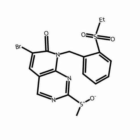 CCS(=O)(=O)c1ccccc1Cn1c(=O)c(Br)cc2cnc([S+](C)[O-])nc21